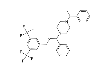 CC(c1ccccc1)N1CCN(C([CH]Cc2cc(C(F)(F)F)cc(C(F)(F)F)c2)c2ccccc2)CC1